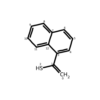 C=C(S)c1cccc2ccccc12